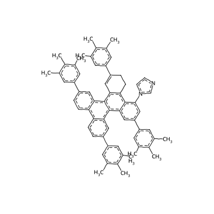 Cc1cc(C2=Cc3c(c4c(-n5ccnc5)cc(-c5cc(C)c(C)c(C)c5)cc4c4c5cc(-c6cc(C)c(C)c(C)c6)ccc5c5ccc(-c6cc(C)c(C)c(C)c6)cc5c34)CC2)cc(C)c1C